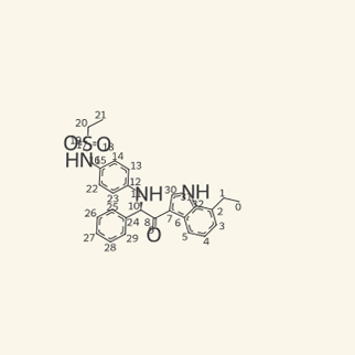 CCc1cccc2c(C(=O)[C@H](Nc3ccc(NS(=O)(=O)CC)cc3)c3ccccc3)c[nH]c12